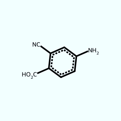 N#Cc1cc(N)ccc1C(=O)O